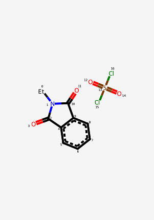 CCN1C(=O)c2ccccc2C1=O.O=S(=O)(Cl)Cl